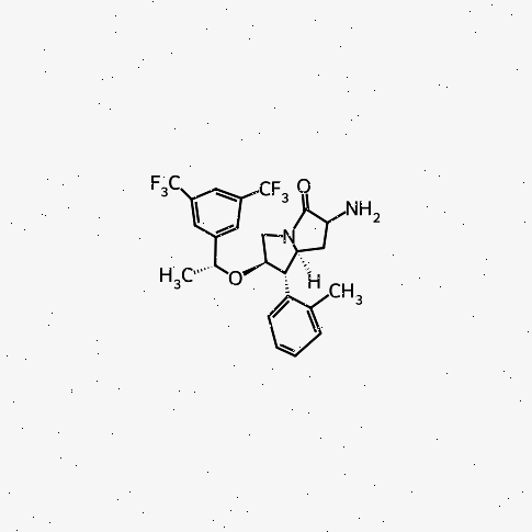 Cc1ccccc1[C@@H]1[C@@H](O[C@H](C)c2cc(C(F)(F)F)cc(C(F)(F)F)c2)CN2C(=O)C(N)C[C@@H]12